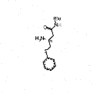 CC(C)(C)NC(=O)C[C@@H](N)CSc1ccccc1